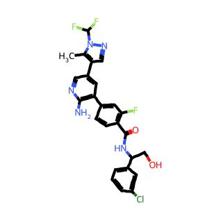 Cc1c(-c2cnc(N)c(-c3ccc(C(=O)NC(CO)c4cccc(Cl)c4)c(F)c3)c2)cnn1C(F)F